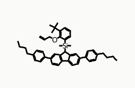 C=CCOc1c(C(C)(C)C)cccc1[Si](C)(C)C1c2cc(-c3ccc(CCCC)cc3)ccc2-c2ccc(-c3ccc(CCCC)cc3)cc21